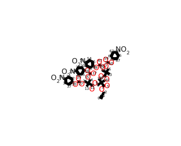 C#CCOC(=O)C(C)(COC(=O)C(C)(COC(=O)Oc1ccc([N+](=O)[O-])cc1)COC(=O)Oc1ccc([N+](=O)[O-])cc1)COC(=O)C(C)(COC(=O)Oc1ccc([N+](=O)[O-])cc1)COC(=O)Oc1ccc([N+](=O)[O-])cc1